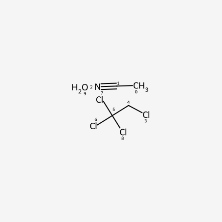 CC#N.ClCC(Cl)(Cl)Cl.O